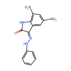 O=C1Nc2c(cc([N+](=O)[O-])cc2[N+](=O)[O-])/C1=N/Nc1ccccc1